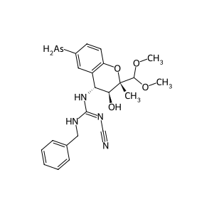 COC(OC)[C@@]1(C)Oc2ccc([AsH2])cc2[C@@H](NC(=NC#N)NCc2ccccc2)[C@@H]1O